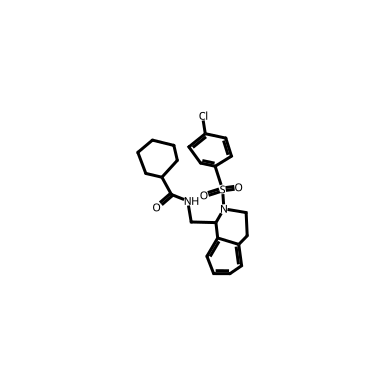 O=C(NCC1c2ccccc2CCN1S(=O)(=O)c1ccc(Cl)cc1)C1CCCCC1